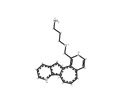 NCCCOCC1=c2c(cccc3c2cc2cccoc23)C=CS1